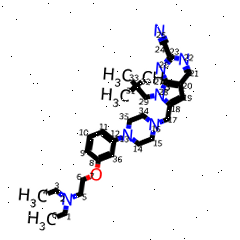 CCN(CC)CCOc1cccc(N2CCN(Cc3cc4cnc(C#N)nc4n3CC(C)(C)C)CC2)c1